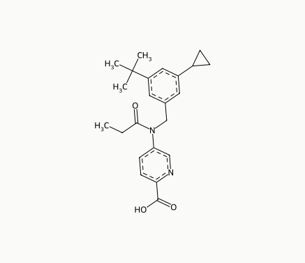 CCC(=O)N(Cc1cc(C2CC2)cc(C(C)(C)C)c1)c1ccc(C(=O)O)nc1